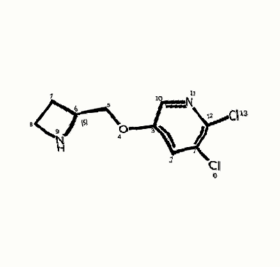 Clc1cc(OC[C@@H]2CCN2)cnc1Cl